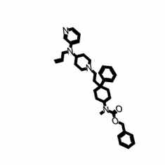 C=CCN(c1cccnc1)C1CCN(CCC2(c3ccccc3)CCC(N(C)C(=O)OCc3ccccc3)CC2)CC1